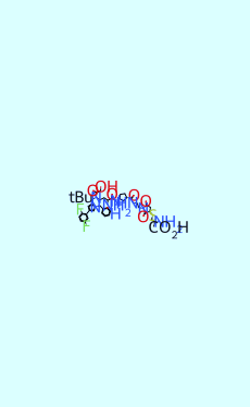 CC(C)(C)C(c1cc(-c2cc(F)ccc2F)cn1Cc1ccccc1)N(CCC(N)C(=O)N[C@H]1CC[C@@H](C(=O)NCCN2C(=O)CC(SCC(N)C(=O)O)C2=O)C1)C(=O)CO